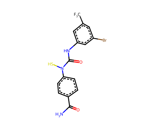 NC(=O)c1ccc(N(S)C(=O)Nc2cc(Br)cc(C(F)(F)F)c2)cc1